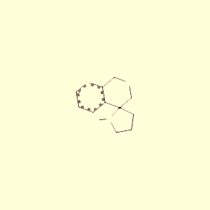 FC(F)(F)N1CCCC12COCc1ncccc12